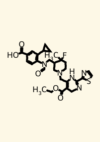 CCOC(=O)C1=C(CN2CCC(C)(F)C(CN(C=O)c3ccc(C(=O)O)cc3C3CC3)C2)NC(c2nccs2)=NC1